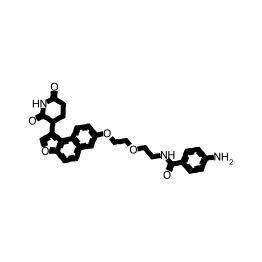 Nc1ccc(C(=O)NCCOCCOc2ccc3c(ccc4occ(C5CCC(=O)NC5=O)c43)c2)cc1